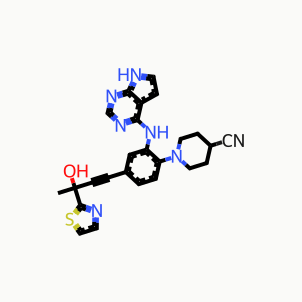 CC(O)(C#Cc1ccc(N2CCC(C#N)CC2)c(Nc2ncnc3[nH]ccc23)c1)c1nccs1